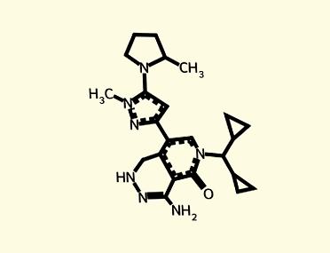 CC1CCCN1c1cc(-c2cn(C(C3CC3)C3CC3)c(=O)c3c2CNN=C3N)nn1C